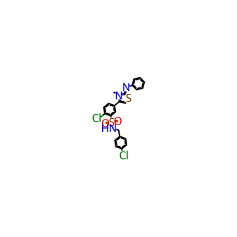 Cn1c(-c2ccc(Cl)c(S(=O)(=O)NCc3ccc(Cl)cc3)c2)csc1=Nc1ccccc1